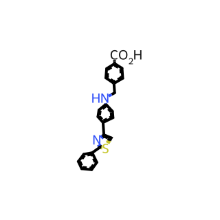 O=C(O)c1ccc(CNc2ccc(-c3csc(-c4ccccc4)n3)cc2)cc1